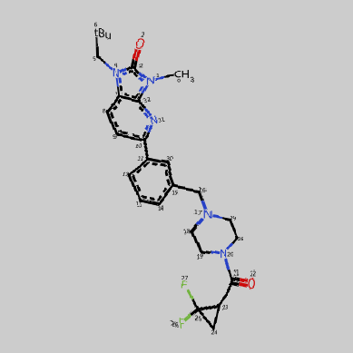 Cn1c(=O)n(CC(C)(C)C)c2ccc(-c3cccc(CN4CCN(C(=O)C5CC5(F)F)CC4)c3)nc21